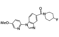 COc1ccc(-n2cnc3cc(C(=O)N4CCC(F)CC4)ccc32)nc1